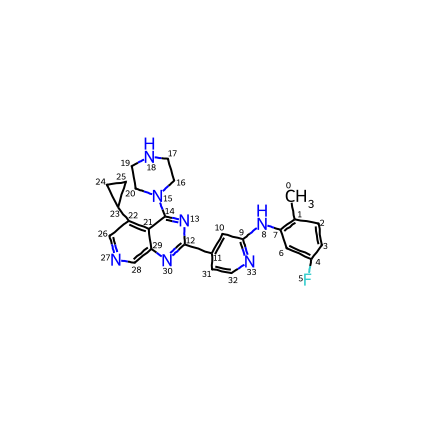 Cc1ccc(F)cc1Nc1cc(-c2nc(N3CCNCC3)c3c(C4CC4)cncc3n2)ccn1